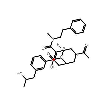 CC(=O)N1CC2CC(c3cccc(CC(C)O)c3)=C(C(=O)N(C)CCc3ccccc3)[C@@H](C1)N2C(=O)O